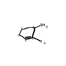 NC1CCC=C1I